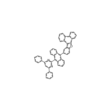 c1ccc(-c2cc(-c3ccccc3)nc(-c3c4ccccc4c(-c4ccc5oc6c7ccccc7c7ccccc7c6c5c4)c4ccccc34)n2)cc1